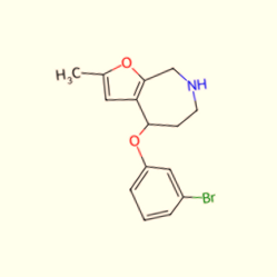 Cc1cc2c(o1)CNCCC2Oc1cccc(Br)c1